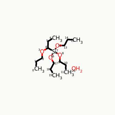 CCCOC(CC)[Si](OCCC)(OCCC)OCCC.O